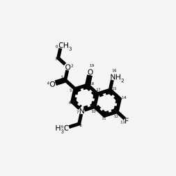 CCOC(=O)c1cn(CC)c2cc(F)cc(N)c2c1=O